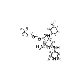 COc1cccc(-n2nc(OCOCC[Si](C)(C)C)c3c(N)nc(Nc4cc(C)nc(C)n4)cc32)c1